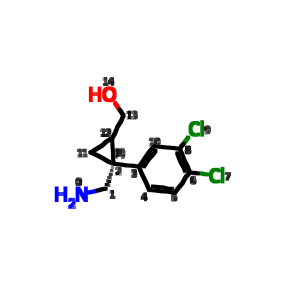 NC[C@]1(c2ccc(Cl)c(Cl)c2)CC1CO